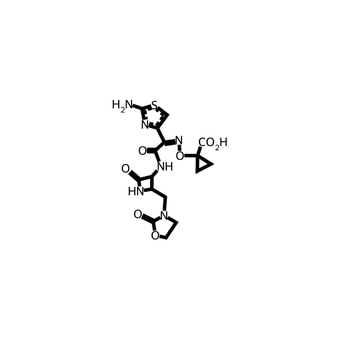 Nc1nc(/C(=N/OC2(C(=O)O)CC2)C(=O)NC2C(=O)NC2CN2CCOC2=O)cs1